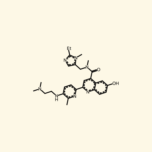 CCc1ncc(CN(C)C(=O)c2cc(-c3ccc(NCCN(C)C)c(C)n3)nc3ccc(O)cc23)n1C